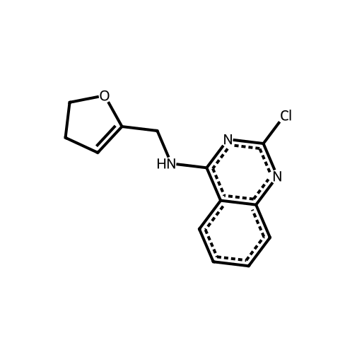 Clc1nc(NCC2=CCCO2)c2ccccc2n1